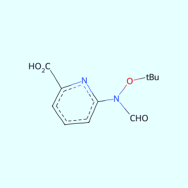 CC(C)(C)ON(C=O)c1cccc(C(=O)O)n1